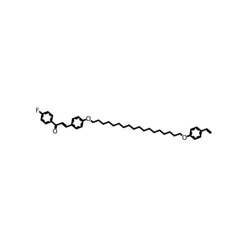 C=Cc1ccc(OCCCCCCCCCCCCCCCCCCOc2ccc(C=CC(=O)c3ccc(F)cc3)cc2)cc1